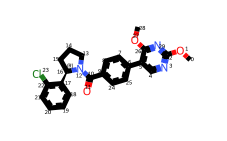 COc1ncc(-c2ccc(C(=O)N3CCC[C@@H]3c3ccccc3Cl)cc2)c(OC)n1